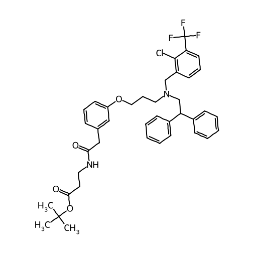 CC(C)(C)OC(=O)CCNC(=O)Cc1cccc(OCCCN(Cc2cccc(C(F)(F)F)c2Cl)CC(c2ccccc2)c2ccccc2)c1